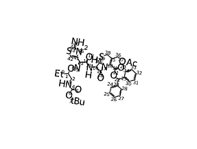 CCC(CNC(=O)OC(C)(C)C)ON=C(C(=O)N[C@@H]1C(=O)N2C(C(=O)OC(c3ccccc3)c3ccccc3)=C(COC(C)=O)CS[C@H]12)c1csc(N)n1